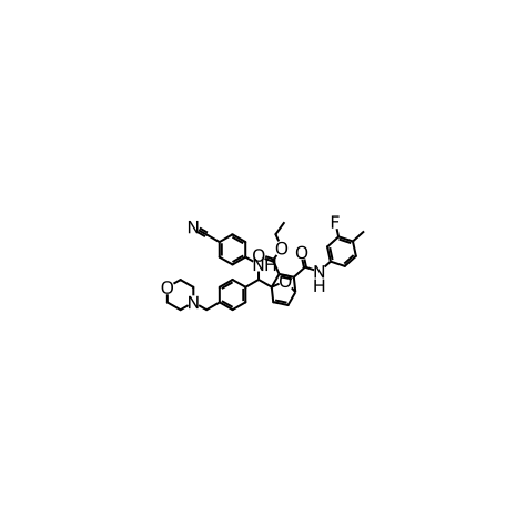 CCOC(=O)C1=C(C(=O)Nc2ccc(C)c(F)c2)C2C=CC1(C(Nc1ccc(C#N)cc1)c1ccc(CN3CCOCC3)cc1)O2